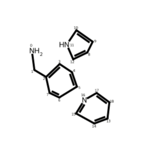 NCc1ccccc1.c1cc[nH]c1.c1ccncc1